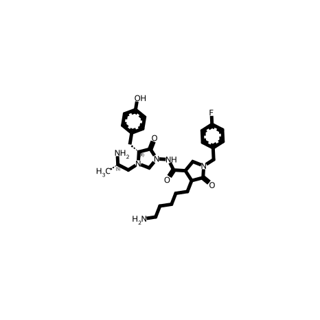 C[C@H](N)CN1CN(NC(=O)C2CN(Cc3ccc(F)cc3)C(=O)C2CCCCCN)C(=O)[C@H]1Cc1ccc(O)cc1